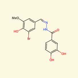 COc1cc(/C=N\NC(=O)c2ccc(O)c(O)c2)cc(Br)c1O